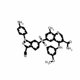 COc1cccc(Nc2c(C(N)=O)cnc3c(C)cc(S(=O)(=O)c4ccc5c(C#N)nn(-c6ccc(N)cc6)c5c4)cc23)c1